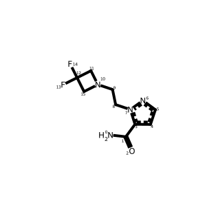 NC(=O)c1ccnn1CCN1CC(F)(F)C1